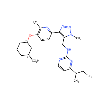 Cc1nc(-c2nnn(C)c2CNc2nccc(C(C)CC(F)(F)F)n2)ccc1O[C@H]1CCC[C@H](C(=O)O)C1